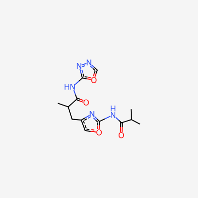 CC(C)C(=O)Nc1nc(CC(C)C(=O)Nc2nnco2)co1